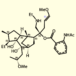 CCNC[C@@](C/C=C/OC)(OC(=O)c1ccccc1NC(C)=O)[C@H]1C[C@@H]2C[C@]1(C)[C@@H]1C[C@H](C)[C@H](CC)[C@]1(O)[C@]2(O)C[C@@H](C)OC